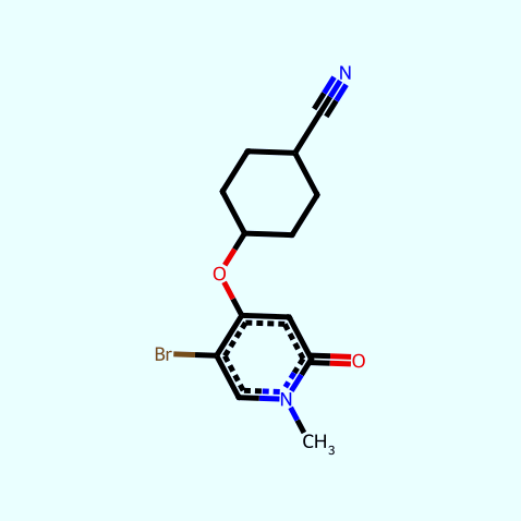 Cn1cc(Br)c(OC2CCC(C#N)CC2)cc1=O